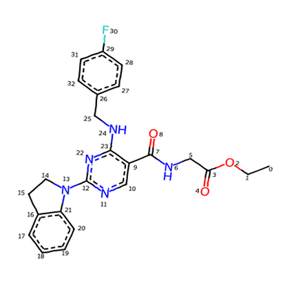 CCOC(=O)CNC(=O)c1cnc(N2CCc3ccccc32)nc1NCc1ccc(F)cc1